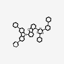 C1=CC(c2ccc3c(c2)c2cc(-c4ccccc4)ccc2n3-c2cccc3c2oc2cccc(-c4nc(-c5ccccc5)nc(-c5cccc(-c6ccccc6)c5)n4)c23)=CCC1